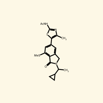 CSc1cc(-c2sc(NC(C)=O)nc2C)cc2c1C(=O)N(C(C)C1CC1)C2